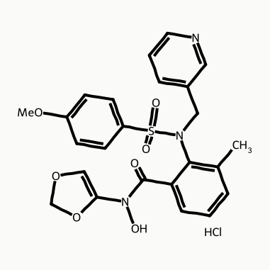 COc1ccc(S(=O)(=O)N(Cc2cccnc2)c2c(C)cccc2C(=O)N(O)C2=COCO2)cc1.Cl